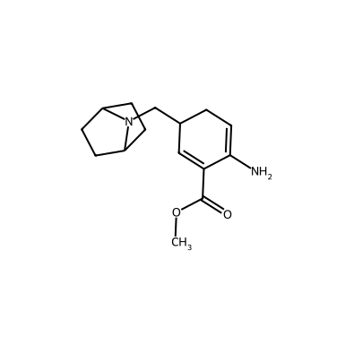 COC(=O)C1=CC(CN2C3CCC2CC3)CC=C1N